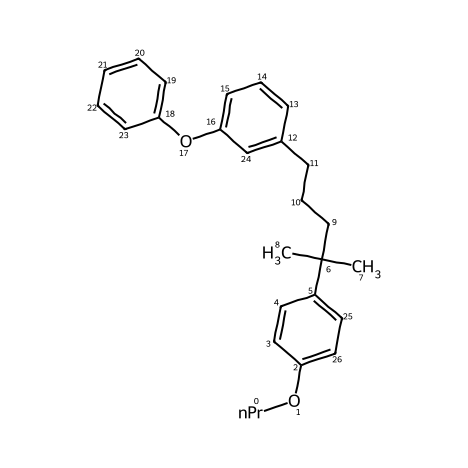 CCCOc1ccc(C(C)(C)CCCc2cccc(Oc3ccccc3)c2)cc1